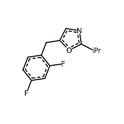 CC(C)c1ncc(Cc2ccc(F)cc2F)o1